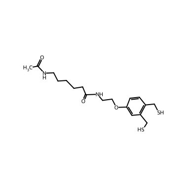 CC(=O)NCCCCCC(=O)NCCOc1ccc(CS)c(CS)c1